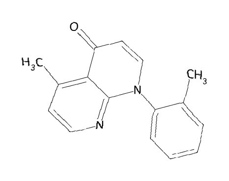 Cc1ccccc1-n1ccc(=O)c2c(C)ccnc21